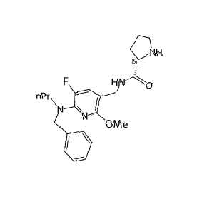 CCCN(Cc1ccccc1)c1nc(OC)c(CNC(=O)[C@@H]2CCCN2)cc1F